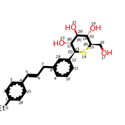 CCc1ccc(C=CCc2cccc([C@@H]3S[C@H](CO)[C@@H](O)[C@H](O)[C@H]3O)c2)cc1